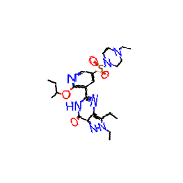 CCc1c2nc(-c3cc(S(=O)(=O)N4CCN(CC)CC4)cnc3OC(C)CC)[nH]c(=O)c2nn1CC